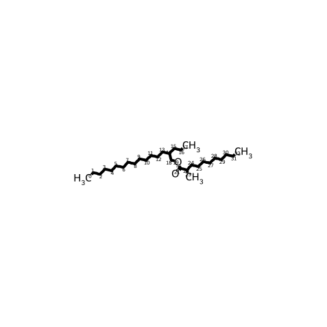 CCCCCCCCCCCCCCC(CCC)COC(=O)C(C)CCCCCCCCC